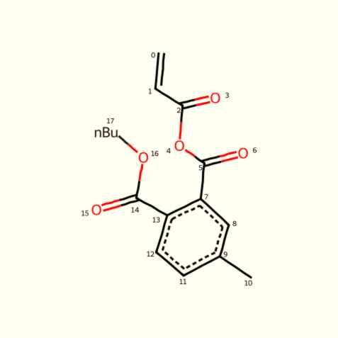 C=CC(=O)OC(=O)c1cc(C)ccc1C(=O)OCCCC